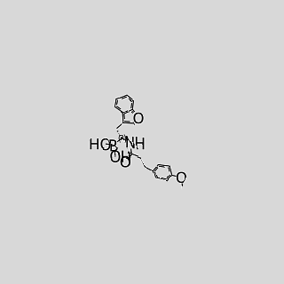 COc1ccc(CCC(=O)N[C@@H](Cc2coc3ccccc23)B(O)O)cc1